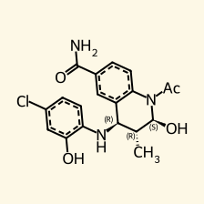 CC(=O)N1c2ccc(C(N)=O)cc2[C@H](Nc2ccc(Cl)cc2O)[C@@H](C)[C@@H]1O